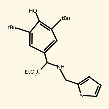 CCOC(=O)C(NCc1cccs1)c1cc(C(C)(C)C)c(O)c(C(C)(C)C)c1